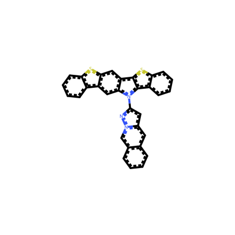 c1ccc2cn3nc(-n4c5cc6c(cc5c5sc7ccccc7c54)sc4ccccc46)cc3cc2c1